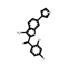 Nc1c(C(=O)c2ccc(Cl)cc2Cl)oc2cc(-c3ccsc3)ccc12